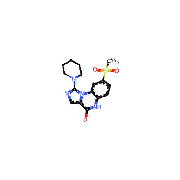 CS(=O)(=O)c1ccc2[nH]c(=O)c3cnc(N4CCCCC4)n3c2c1